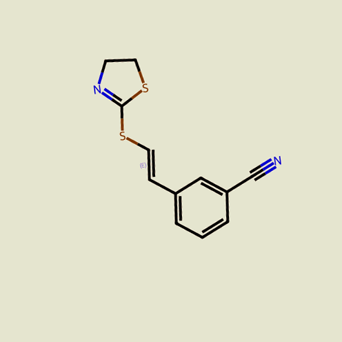 N#Cc1cccc(/C=C/SC2=NCCS2)c1